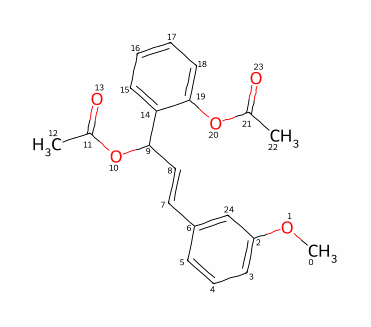 COc1cccc(/C=C/C(OC(C)=O)c2ccccc2OC(C)=O)c1